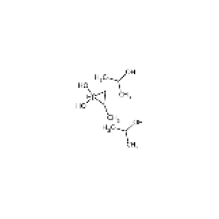 CC(C)O.CC(C)O.C[CH]1[CH2][Hf]1([OH])[OH]